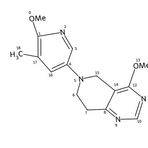 COc1ncc(N2CCc3ncnc(OC)c3C2)cc1C